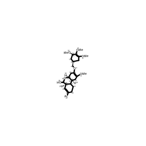 COC1=C(OC[C@@H]2CC(OC)=C(OC)[C@H](OC)C2)C[C@@H]2OC(O)[C@@H]3C=C(C(C)=O)CCC3[C@@H]2C1